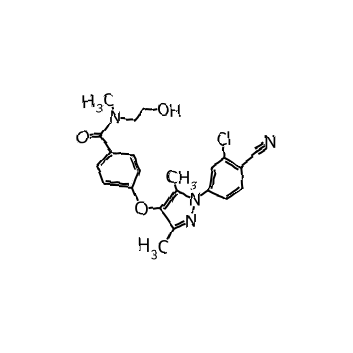 Cc1nn(-c2ccc(C#N)c(Cl)c2)c(C)c1Oc1ccc(C(=O)N(C)CCO)cc1